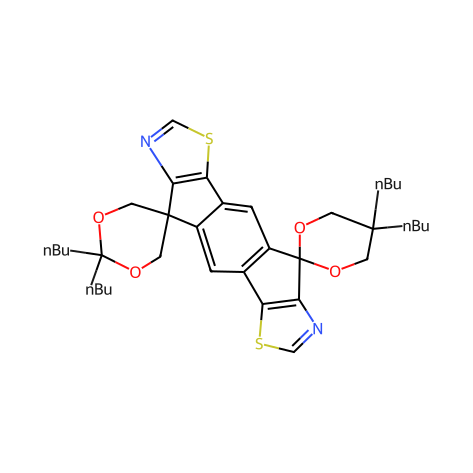 CCCCC1(CCCC)COC2(OC1)c1cc3c(cc1-c1scnc12)C1(COC(CCCC)(CCCC)OC1)c1ncsc1-3